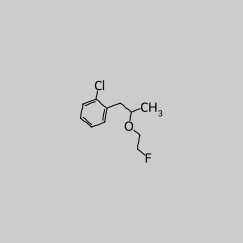 CC(Cc1ccccc1Cl)OCCF